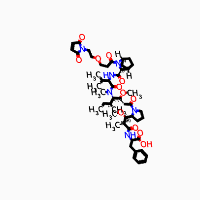 CC[C@H](C)[C@@H]([C@@H](CC(=O)N1CCCC1[C@H](OC)[C@@H](C)C(=O)NC(Cc1ccccc1)C(=O)O)OC)N(C)C(=O)C(NC(=O)[C@@H]1[C@H]2CC[C@H](C2)N1C(=O)CCOCCN1C(=O)C=CC1=O)C(C)C